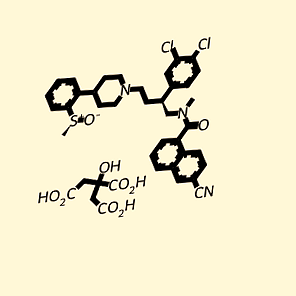 CN(C[C@@H](CCN1CCC(c2ccccc2[S@+](C)[O-])CC1)c1ccc(Cl)c(Cl)c1)C(=O)c1cccc2cc(C#N)ccc12.O=C(O)CC(O)(CC(=O)O)C(=O)O